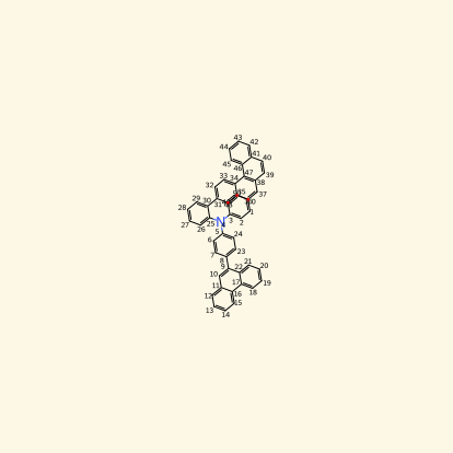 c1ccc(N(c2ccc(-c3cc4ccccc4c4ccccc34)cc2)c2ccccc2-c2ccc3c(ccc4ccc5ccccc5c43)c2)cc1